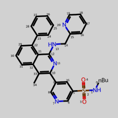 CCCCNS(=O)(=O)c1cncc(-c2nc(NCc3ccccn3)c3c(-c4ccccc4)cccc3c2C)c1